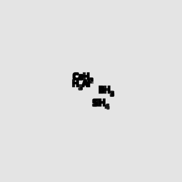 B.[AlH3].[CaH2].[SiH4]